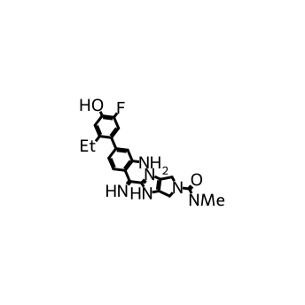 CCc1cc(O)c(F)cc1-c1ccc(C(=N)c2nc3c([nH]2)CN(C(=O)NC)C3)c(N)c1